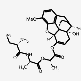 COc1ccc2c3c1O[C@@H]1C(OC(=O)[C@H](C)OC(=O)[C@H](C)NC(=O)[C@@H](N)CC(C)C)=CC[C@]4(O)[C@@H](CCC[C@@]314)C2